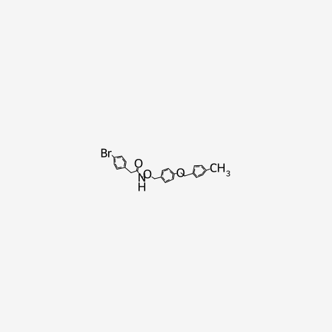 Cc1ccc(COc2ccc(CONC(=O)Cc3ccc(Br)cc3)cc2)cc1